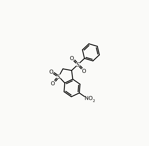 O=[N+]([O-])c1ccc2c(c1)C(S(=O)(=O)c1ccccc1)CS2(=O)=O